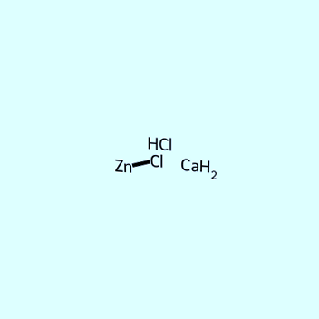 Cl.[CaH2].[Cl][Zn]